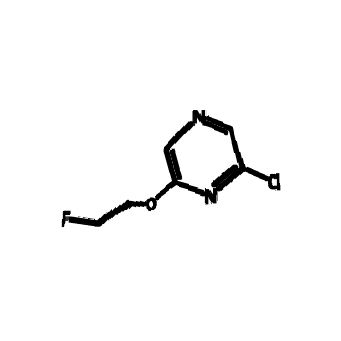 FCCOc1cncc(Cl)n1